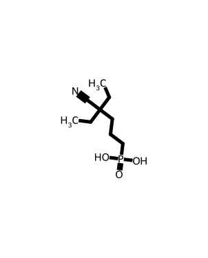 CCC(C#N)(CC)CCCP(=O)(O)O